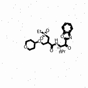 CCC[C@H](NC(=O)C(COC1CCOCC1)CS(=O)(=O)CC)C(=O)c1nc2ccccc2o1